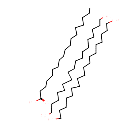 CCCCCCCCCCCCCCCCCC(=O)O.OCCCCCCCCCCCCCCCCCCO.OCCCCCCCCCCCCCCCCCCO